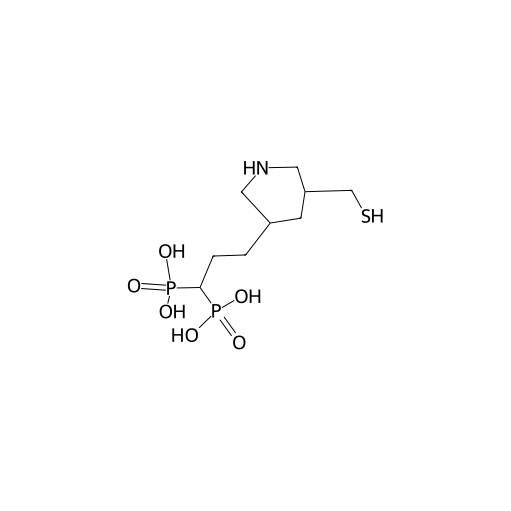 O=P(O)(O)C(CCC1CNCC(CS)C1)P(=O)(O)O